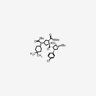 CNC(=O)[C@@H]1C[C@H](N(C(=O)C(C)(C)C)C2CCC(C)(C)CC2)C[N+]1(C)C(=O)[C@@H]1CN(C(C)(C)C)C[C@H]1c1ccc(Cl)cc1